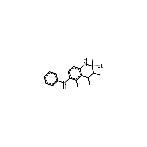 CCC1(C)Nc2ccc(Nc3ccccc3)c(C)c2C(C)C1C